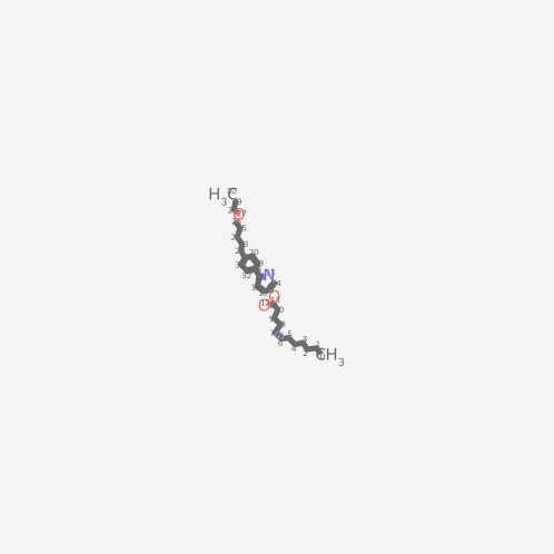 CCCCCC/C=C\CCCC(=O)Oc1ccc(-c2ccc(CCCCCOCCC)cc2)nc1